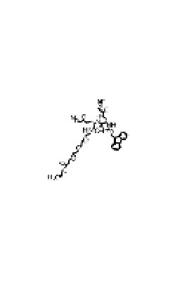 C=CCOC(=O)CCOCCOCCOCCNC(=O)[C@H](CCC(=O)C=[N+]=[N-])NC(=O)[C@H](CCC(=O)C=[N+]=[N-])NC(=O)OCC1c2ccccc2-c2ccccc21